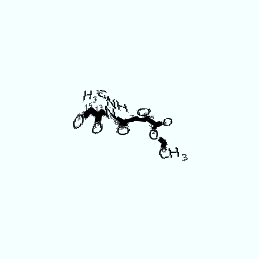 CCOC(=O)C1OC1C(=O)N(NC)C(=O)C=O